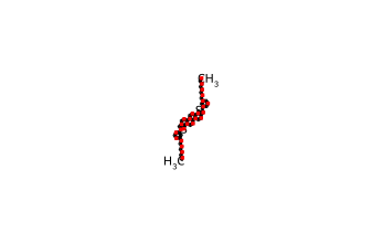 CCCCCCCCc1cccc(-c2cc3ccc4c5ccc6c(ccc7cc(-c8cccc(CCCCCCCC)c8)sc76)c5ccc4c3s2)c1